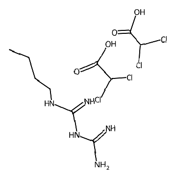 CCCCNC(=N)NC(=N)N.O=C(O)C(Cl)Cl.O=C(O)C(Cl)Cl